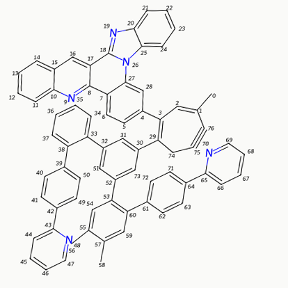 CC1=CC(c2ccc3c4nc5ccccc5cc4c4nc5ccccc5n4c3c2)=C(c2cc(-c3ccccc3-c3ccc(-c4ccccn4)cc3)cc(-c3cc(C)c(C)cc3-c3ccc(-c4ccccn4)cc3)c2)CC#C1